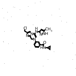 Cc1cc(NC2=CN(c3cccc(C(=O)NC4CC4)c3)CC3=NC(CCl)=C[N+]23)n[nH]1